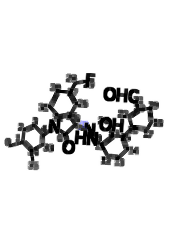 Cc1ccc(N2C(=O)/C(=N\Nc3cccc(-c4cccc(C=O)c4)c3O)c3cc(CF)ccc32)cc1C